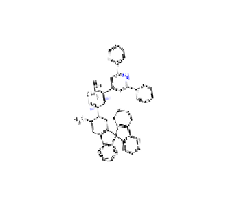 C/C=C(\C=C(/C)c1cc(-c2ccccc2)nc(-c2ccccc2)c1)C1CC2=C(C=C1C)c1ccccc1C21C2=C(C=CCC2)c2ccccc21